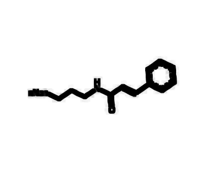 CCCCCCCCCCCCNC(=O)/C=C/c1ccccc1